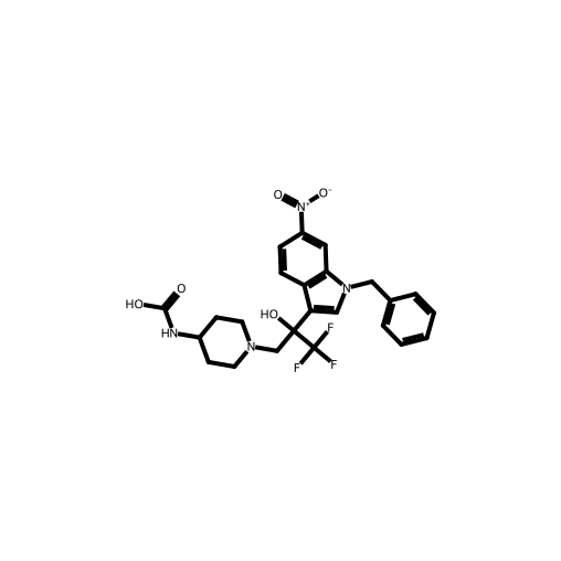 O=C(O)NC1CCN(CC(O)(c2cn(Cc3ccccc3)c3cc([N+](=O)[O-])ccc23)C(F)(F)F)CC1